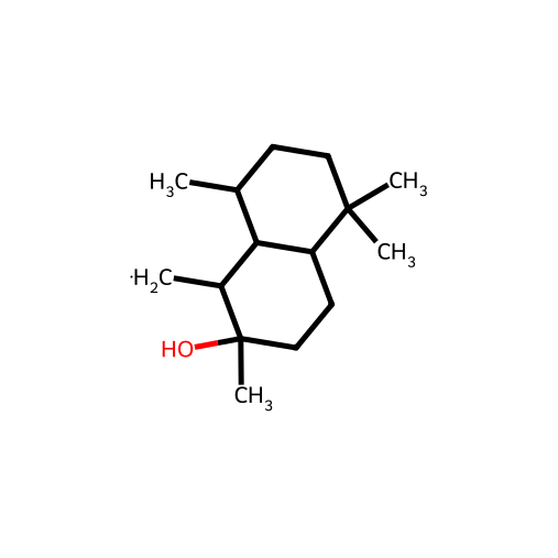 [CH2]C1C2C(C)CCC(C)(C)C2CCC1(C)O